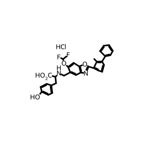 Cc1c(-c2ccccc2)cccc1-c1nc2cc(CNC(Cc3ccc(O)cc3)C(=O)O)c(OC(F)F)cc2o1.Cl